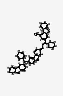 Clc1cc(C(CCc2ccc3c(c2)sc2ccc(N(c4ccccc4)c4ccc5sc6ccccc6c5c4)cc23)c2ccccc2)cc2sc3ccccc3c12